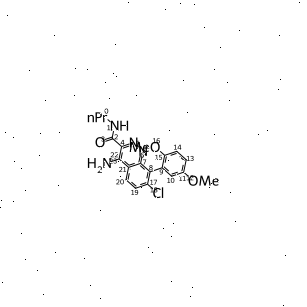 CCCNC(=O)c1nnc2c(-c3cc(OC)ccc3OC)c(Cl)ccc2c1N